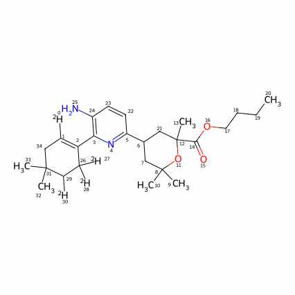 [2H]C1=C(c2nc(C3CC(C)(C)OC(C)(C(=O)OCCCC)C3)ccc2N)C([2H])([2H])C([2H])C(C)(C)C1